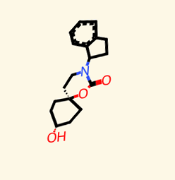 O=C1O[C@]2(CCN1C1CCc3ccccc31)CC[C@@H](O)CC2